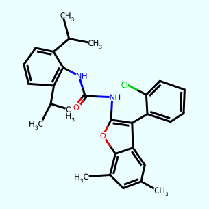 Cc1cc(C)c2oc(NC(=O)Nc3c(C(C)C)cccc3C(C)C)c(-c3ccccc3Cl)c2c1